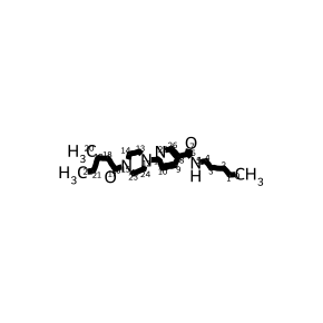 CCCCCNC(=O)c1ccc(N2CCN(C(=O)CC(C)CC)CC2)nc1